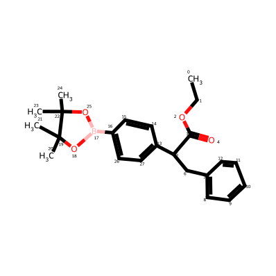 CCOC(=O)C(Cc1ccccc1)c1ccc(B2OC(C)(C)C(C)(C)O2)cc1